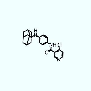 O=C(Nc1ccc(NC23CC4CC(CC(C4)C2)C3)cc1)c1cnccc1Cl